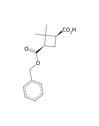 CC1(C)[C@@H](C(=O)O)C[C@H]1C(=O)OCc1ccccc1